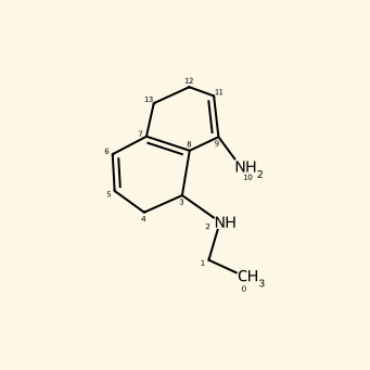 CCNC1CC=CC2=C1C(N)=CCC2